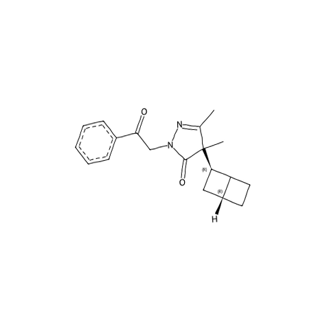 CC1=NN(CC(=O)c2ccccc2)C(=O)C1(C)[C@@H]1C[C@H]2CCC21